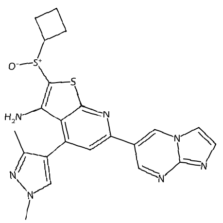 Cc1nn(C)cc1-c1cc(-c2cnc3nccn3c2)nc2sc([S+]([O-])C3CCC3)c(N)c12